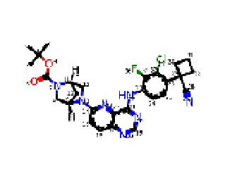 CC(C)(C)OC(=O)N1C[C@@H]2C[C@H]1CN2c1ccc2ncnc(Nc3ccc(C4(C#N)CCC4)c(Cl)c3F)c2n1